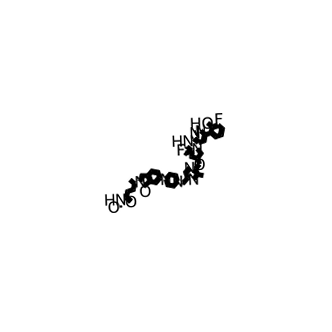 Cc1nc(CN2CCN(c3ccc4c(c3)C(=O)N(C(C)CCC(=O)NC=O)C4)CC2)cnc1OC1CN2c3cc(-c4cccc(F)c4O)nnc3NCC2(CF)C1